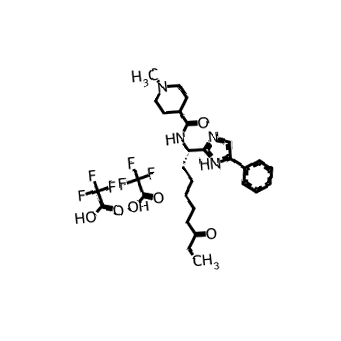 CCC(=O)CCCCC[C@H](NC(=O)C1CCN(C)CC1)c1ncc(-c2ccccc2)[nH]1.O=C(O)C(F)(F)F.O=C(O)C(F)(F)F